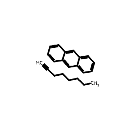 C#CCCCCCC.c1ccc2cc3ccccc3cc2c1